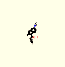 [C-]#[N+]c1ccc2c(c1)C=C(C)C2C(O)CC#C